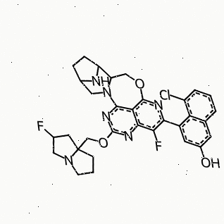 Oc1cc(-c2nc3c4c(nc(OCC56CCCN5CC(F)C6)nc4c2F)N2CC4CCC(N4)C2CO3)c2c(Cl)cccc2c1